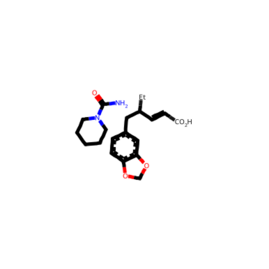 CCC(/C=C/C(=O)O)Cc1ccc2c(c1)OCO2.NC(=O)N1CCCCC1